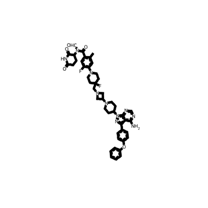 Cc1cc(N2CCC(F)(CN3CC(N4CCC(n5nc(-c6ccc(Oc7ccccc7)cc6)c6c(N)ncnc65)CC4)C3)CC2)c(F)cc1C(=O)N(C=O)C1CCC(=O)NC1=O